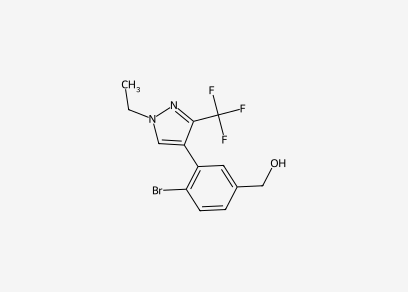 CCn1cc(-c2cc(CO)ccc2Br)c(C(F)(F)F)n1